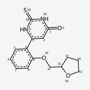 O=c1cc(-c2ccccc2OCC2CCCO2)[nH]c(=S)[nH]1